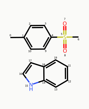 Cc1ccc(S(C)(=O)=O)cc1.c1ccc2[nH]ccc2c1